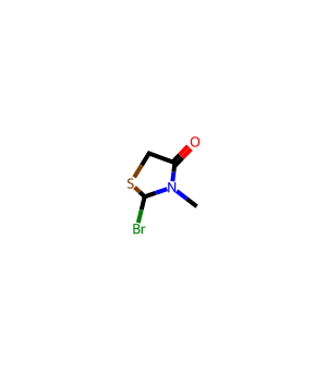 CN1C(=O)CSC1Br